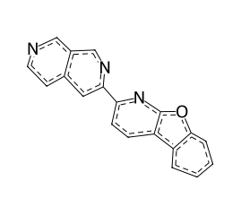 c1ccc2c(c1)oc1nc(-c3cc4ccncc4cn3)ccc12